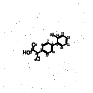 O=C(O)C(Cl)c1ccc(-c2ccccc2I)cc1